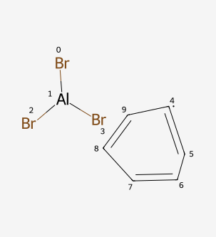 [Br][Al]([Br])[Br].[c]1ccccc1